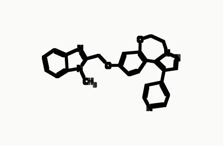 Cn1c(COc2ccc3c(c2)OCCn2ncc(-c4ccncc4)c2-3)nc2ccccc21